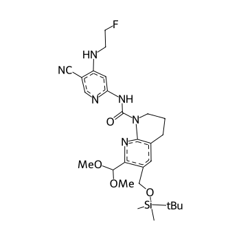 COC(OC)c1nc2c(cc1CO[Si](C)(C)C(C)(C)C)CCCN2C(=O)Nc1cc(NCCF)c(C#N)cn1